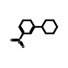 O=[SH](=O)C1=CCCC(C2CCCCC2)=C1